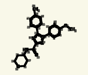 COc1ccc(-n2nc(C(=O)NC3CCOCC3)nc2-c2ccc(C)cn2)cn1